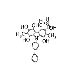 Cc1c(B(O)O)c(C)c2c3c(O)c(O)c(C)c(O)c3n(-c3ccc(-c4ccccc4)cc3)c2c1O